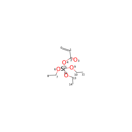 C=CC(=O)O[Si](OCC)(OCC)OCC